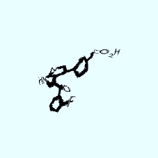 O=C(O)/C=C/c1ccc(-c2cnc3[nH]cc(C(=O)c4ccccc4F)c3c2)cc1